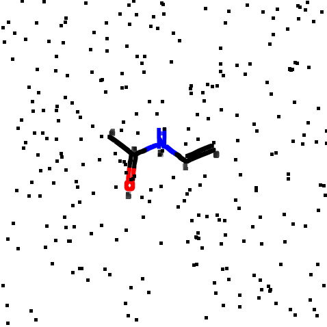 C=CNC(C)=O